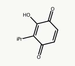 CC(C)C1=C(O)C(=O)C=CC1=O